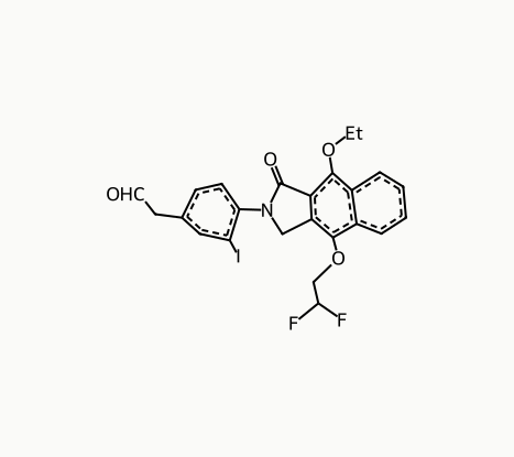 CCOc1c2c(c(OCC(F)F)c3ccccc13)CN(c1ccc(CC=O)cc1I)C2=O